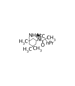 CCCC(C)(C)C(=O)NC1CC(C)(C)CC(C)(CNC(C)=O)C1